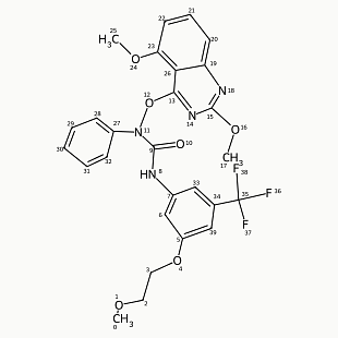 COCCOc1cc(NC(=O)N(Oc2nc(OC)nc3cccc(OC)c23)c2ccccc2)cc(C(F)(F)F)c1